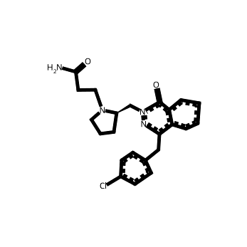 NC(=O)CCN1CCC[C@@H]1Cn1nc(Cc2ccc(Cl)cc2)c2ccccc2c1=O